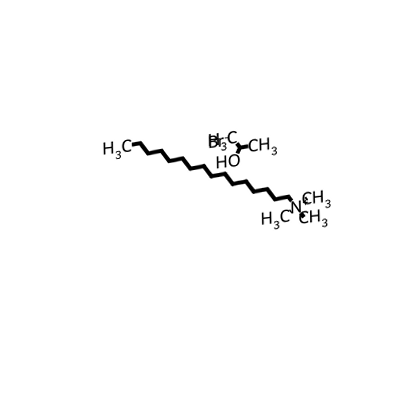 CC(C)O.CCCCCCCCCCCCCCCC[N+](C)(C)C.[Br-]